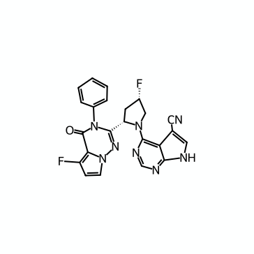 N#Cc1c[nH]c2ncnc(N3C[C@@H](F)C[C@H]3c3nn4ccc(F)c4c(=O)n3-c3ccccc3)c12